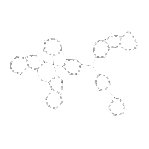 c1ccc(-c2ccc(N(c3ccc4c(c3)-c3ccccc3C43c4ccc5ccccc5c4Oc4c3ccc3ccccc43)c3ccc4sc5ccccc5c4c3)cc2)cc1